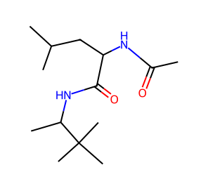 CC(=O)NC(CC(C)C)C(=O)NC(C)C(C)(C)C